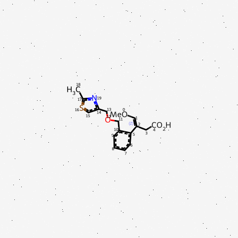 CO/C=C(/CC(=O)O)c1ccccc1COCc1csc(C)n1